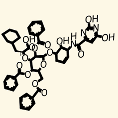 O=C(OCC1OC(OC2CC=CC(NC(=O)c3cc(O)nc(O)n3)C2O)C(OC(=O)c2ccccc2)C(O[C@@H](CC2CCCCC2)C(=O)O)C1OC(=O)c1ccccc1)c1ccccc1